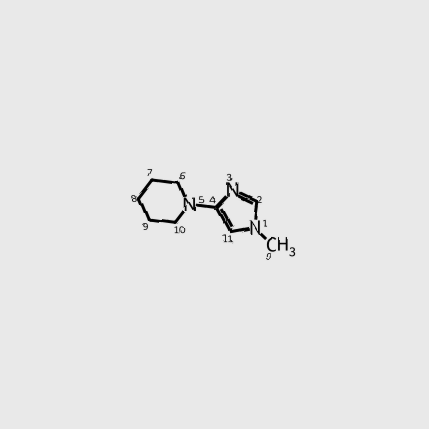 Cn1cnc(N2CCCCC2)c1